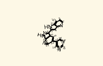 c1cnc2cc(-c3n[nH]c4ncc(-c5cncnc5)cc34)[nH]c2c1